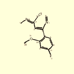 C=N/C(=C\C(Cl)=N/C)c1ccc(F)cc1OC